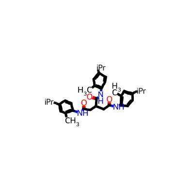 Cc1cc(C(C)C)ccc1NC(=O)CC(CC(=O)Nc1ccc(C(C)C)cc1C)C(=O)Nc1ccc(C(C)C)cc1C